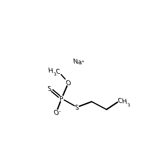 CCCSP([O-])(=S)OC.[Na+]